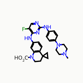 CN1CCN(c2ccc(Nc3ncc(F)c(Nc4ccc5c(c4)N(C(=O)O)CCC54CC4)n3)cc2)CC1